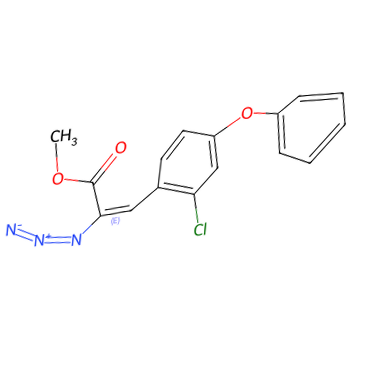 COC(=O)/C(=C\c1ccc(Oc2ccccc2)cc1Cl)N=[N+]=[N-]